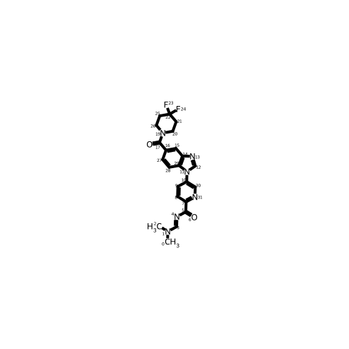 CN(C)C=NC(=O)c1ccc(-n2cnc3cc(C(=O)N4CCC(F)(F)CC4)ccc32)cn1